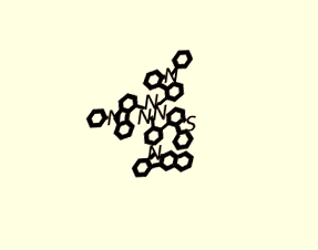 c1ccc(-n2c3ccccc3c3c(-c4nc(-c5ccc(-n6c7ccccc7c7cc8ccccc8cc76)cc5-c5cccc6sc7ccccc7c56)nc(-c5cccc6c5c5ccccc5n6-c5ccccc5)n4)cccc32)cc1